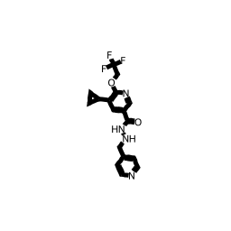 O=C(NNCc1ccncc1)c1cnc(OCC(F)(F)F)c(C2CC2)c1